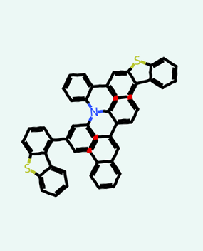 c1cc(-c2cccc3sc4ccccc4c23)cc(N(c2ccccc2-c2ccc3ccccc3c2)c2ccccc2-c2ccc3c(c2)sc2ccccc23)c1